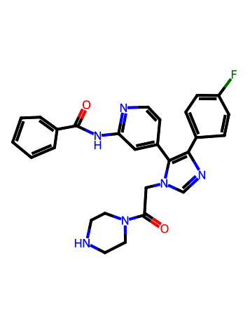 O=C(Nc1cc(-c2c(-c3ccc(F)cc3)ncn2CC(=O)N2CCNCC2)ccn1)c1ccccc1